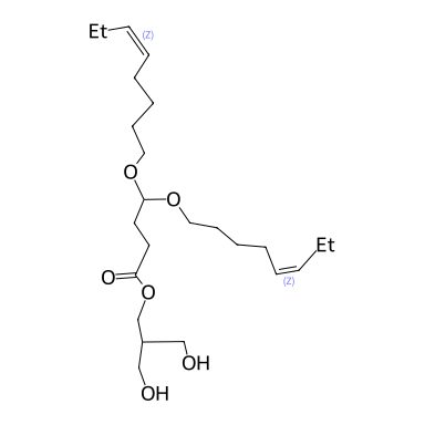 CC/C=C\CCCCOC(CCC(=O)OCC(CO)CO)OCCCC/C=C\CC